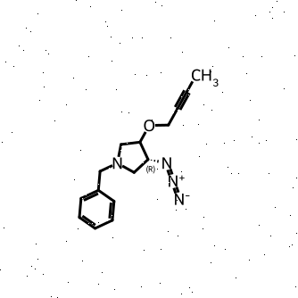 CC#CCOC1CN(Cc2ccccc2)C[C@H]1N=[N+]=[N-]